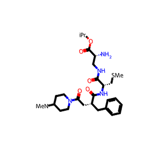 CNC1CCN(C(=O)C[C@@H](Cc2ccccc2)C(=O)N[C@@H](CSC)C(=O)NC[C@@H](N)C(=O)OC(C)C)CC1